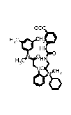 Cc1cc(C)cc(N(C)C(=O)COc2ccccc2[N+](C)(C(=O)CNC(=O)Nc2cccc(C(=O)[O-])c2)C2CCCCC2)c1